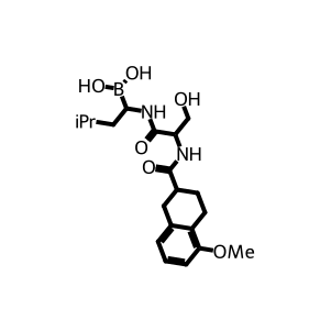 COc1cccc2c1CCC(C(=O)NC(CO)C(=O)NC(CC(C)C)B(O)O)C2